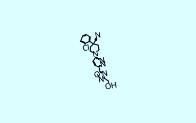 N#CC1(c2ccccc2Cl)CCN(c2ccc(-c3nc(CO)no3)nn2)CC1